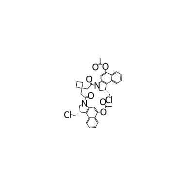 CC(=O)Oc1cc2c(c3ccccc13)[C@H](CCl)CN2C(=O)CC1(CC(=O)N2C[C@@H](CCl)c3c2cc(OC(C)=O)c2ccccc32)CCC1